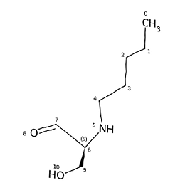 CCCCCN[C@H](C=O)CO